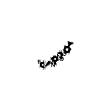 O=C1C(Oc2ccc(C3CC3)cc2)=CCN1c1ccc2c(cnn2CCN2CC[C@@H](F)C2)c1